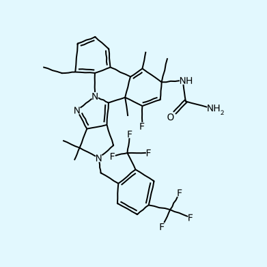 CCc1cccc2c1-n1nc3c(c1C1(C)C(F)=CC(C)(NC(N)=O)C(C)=C21)CN(Cc1ccc(C(F)(F)F)cc1C(F)(F)F)C3(C)C